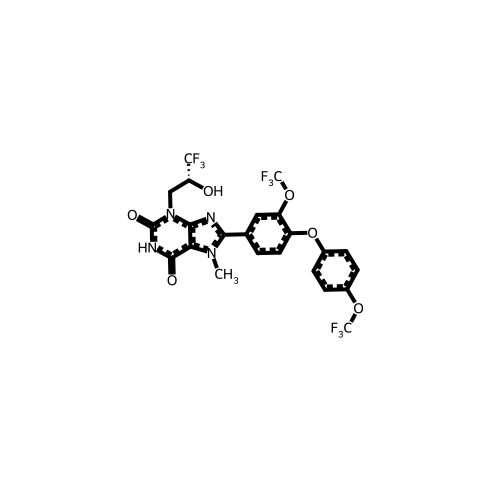 Cn1c(-c2ccc(Oc3ccc(OC(F)(F)F)cc3)c(OC(F)(F)F)c2)nc2c1c(=O)[nH]c(=O)n2C[C@@H](O)C(F)(F)F